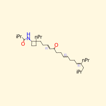 CCC/C(=C\CC/C=C/CCC(=O)/C=C/CCC1(CCC)CCC1NC(=O)C(C)C)CC(C)C